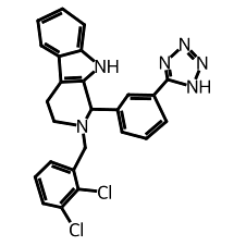 Clc1cccc(CN2CCc3c([nH]c4ccccc34)C2c2cccc(-c3nnn[nH]3)c2)c1Cl